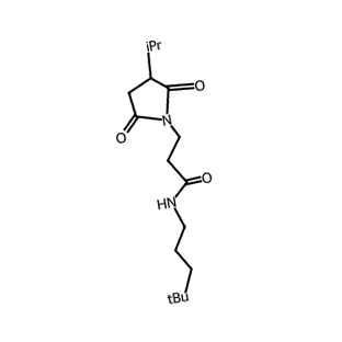 CC(C)C1CC(=O)N(CCC(=O)NCCCC(C)(C)C)C1=O